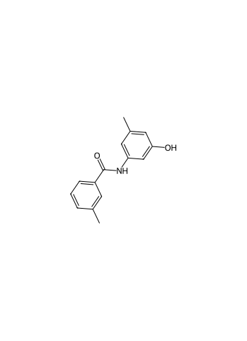 Cc1cc(O)cc(NC(=O)c2cccc(C)c2)c1